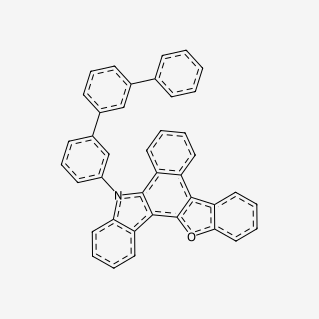 c1ccc(-c2cccc(-c3cccc(-n4c5ccccc5c5c6oc7ccccc7c6c6ccccc6c54)c3)c2)cc1